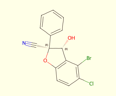 N#C[C@@]1(c2ccccc2)Oc2ccc(Cl)c(Br)c2[C@H]1O